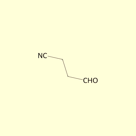 N#CCCC=O